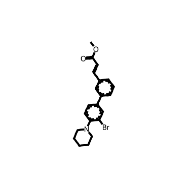 COC(=O)C=Cc1cccc(-c2ccc(N3CCCCC3)c(Br)c2)c1